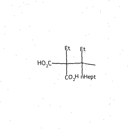 CCCCCCCC(C)(CC)C(CC)(C(=O)O)C(=O)O